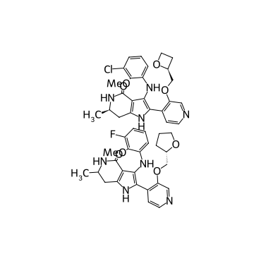 COc1c(Cl)cccc1Nc1c(-c2ccncc2OC[C@@H]2CCO2)[nH]c2c1C(=O)N[C@H](C)C2.COc1c(F)cccc1Nc1c(-c2ccncc2OC[C@@H]2CCCO2)[nH]c2c1C(=O)NC(C)C2